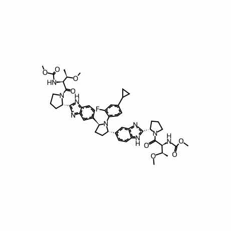 COC(=O)N[C@H](C(=O)N1CCC[C@H]1c1nc2cc([C@@H]3CC[C@@H](c4ccc5[nH]c([C@@H]6CCCN6C(=O)[C@@H](NC(=O)OC)[C@@H](C)OC)nc5c4)N3c3ccc(C4CC4)cc3F)ccc2[nH]1)[C@@H](C)OC